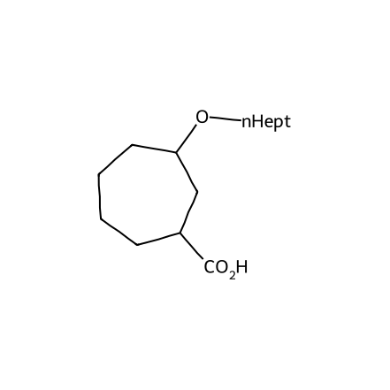 CCCCCCCOC1CCCCC(C(=O)O)C1